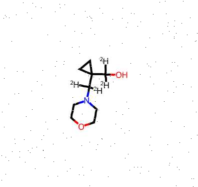 [2H]C([2H])(O)C1(C([2H])([2H])N2CCOCC2)CC1